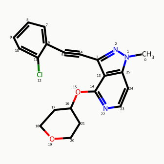 Cn1nc(C#Cc2ccccc2Cl)c2c(OC3CCOCC3)nccc21